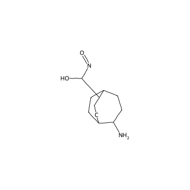 NC1CCC2CCC1CCC2C(O)N=O